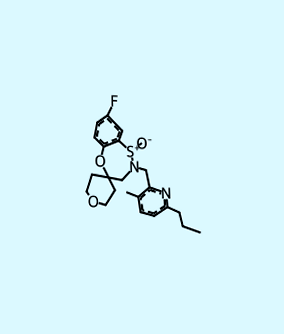 CCCc1ccc(C)c(CN2CC3(CCOCC3)Oc3ccc(F)cc3[S+]2[O-])n1